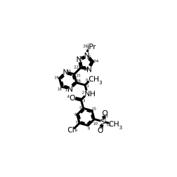 CC(NC(=O)c1cc(Cl)cc(S(C)(=O)=O)c1)c1nccnc1-c1ncn(C(C)C)n1